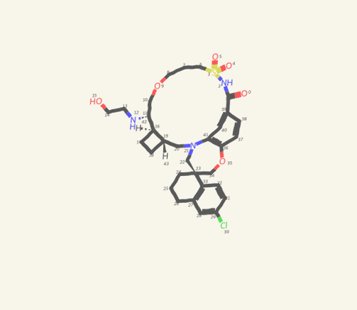 O=C1NS(=O)(=O)CCCOC[C@@H](NCCO)[C@@H]2CC[C@H]2CN2C[C@@]3(CCCc4cc(Cl)ccc43)COc3ccc1cc32